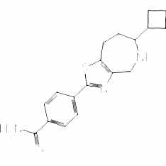 NC(=O)c1ccc(-c2nc3c(s2)CCC(C2CCC2)NC3)cc1